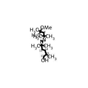 COC(C)(C)CC(C)(C)N=NC(C)(C)CCC(C)CO